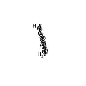 C=CC(=O)OCCOc1ccc(C(=O)Oc2ccc(OC(=O)c3ccc(OC(=O)C=C)cc3)cc2)cc1